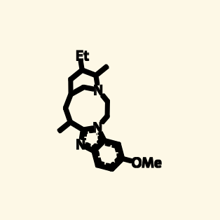 CCC1CC2CC(C)c3nc4ccc(OC)cc4n3CCN(C2)C1C